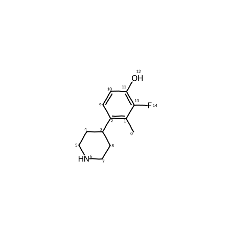 Cc1c(C2CCNCC2)ccc(O)c1F